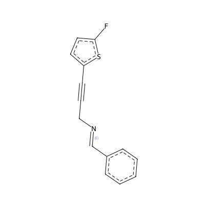 Fc1ccc(C#CC/N=C/c2ccccc2)s1